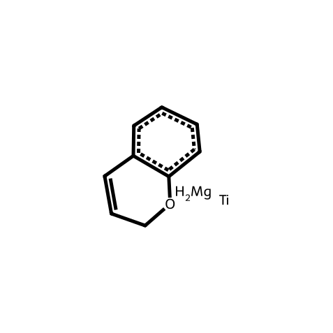 C1=Cc2ccccc2OC1.[MgH2].[Ti]